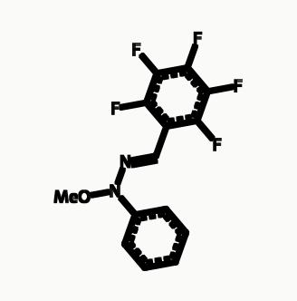 CON(N=Cc1c(F)c(F)c(F)c(F)c1F)c1ccccc1